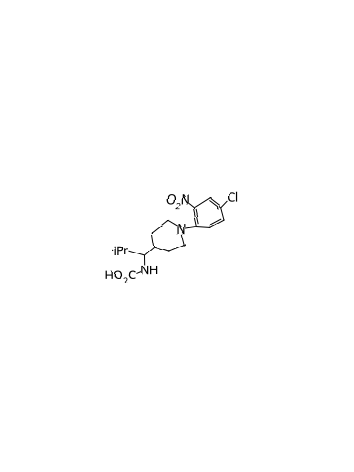 C[C](C)C(NC(=O)O)C1CCN(c2ccc(Cl)cc2[N+](=O)[O-])CC1